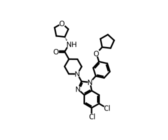 O=C(N[C@@H]1CCOC1)C1CCN(c2nc3cc(Cl)c(Cl)cc3n2-c2cccc(OC3CCCC3)c2)CC1